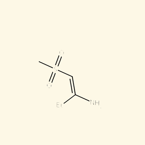 CC/C(N)=C\S(C)(=O)=O